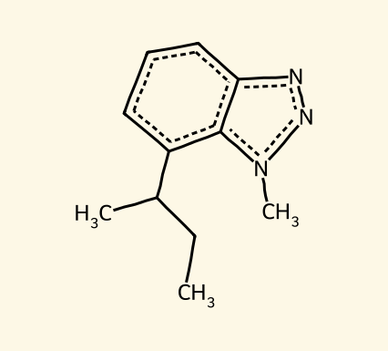 CCC(C)c1cccc2nnn(C)c12